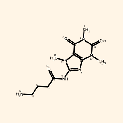 Cn1c(=O)c2c(nc(NC(=O)CCCN)n2C)n(C)c1=O